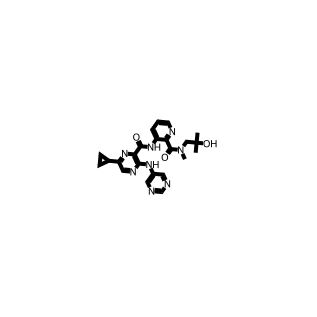 CN(CC(C)(C)O)C(=O)c1ncccc1NC(=O)c1nc(C2CC2)cnc1Nc1cncnc1